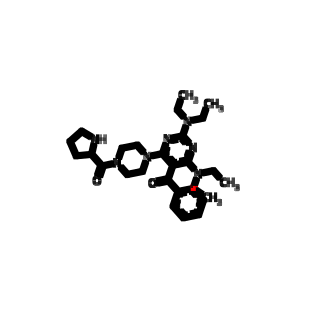 CCN(CC)c1nc(N(CC)CC)c(C(=O)c2ccccc2)c(N2CCN(C(=O)C3CCCN3)CC2)n1